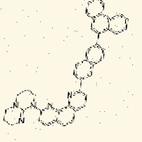 c1ccc2c(c1)cc(-c1ccc3cc(-c4ccc5ccc6ccc(N7CCCN8CCCN=C87)nc6c5n4)ccc3c1)c1ccccc12